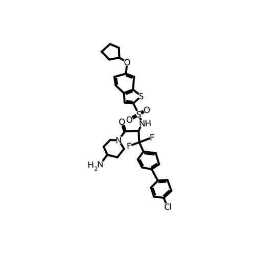 NC1CCN(C(=O)C(NS(=O)(=O)c2cc3ccc(OC4CCCC4)cc3s2)C(F)(F)c2ccc(-c3ccc(Cl)cc3)cc2)CC1